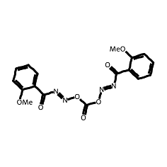 COc1ccccc1C(=O)N=NOC(=O)ON=NC(=O)c1ccccc1OC